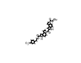 CC(C)(C)OC(=O)n1ccc2c3c(ccc21)NC(C(=O)n1ccc2c4c(ccc21)NC(C(=O)OCCc1ccc([N+](=O)[O-])cc1)C4)C3